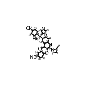 C=C1CCN1c1nc2ccc(C(O)(c3ccc(Cl)cc3)c3cncn3C)cc2c(Cl)c1Oc1ccc(C#N)cc1